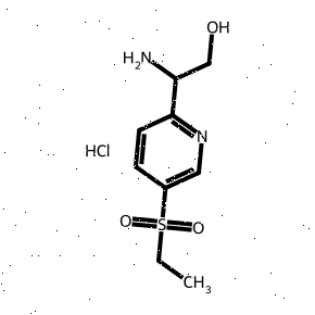 CCS(=O)(=O)c1ccc(C(N)CO)nc1.Cl